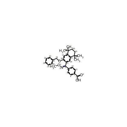 CO/N=C(/c1ccc(C(=O)O)cc1)c1cc2c(cc1OCc1ccccc1)C(C)(C)CCC2(C)C